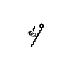 CCCCCCCCCCCCCc1ccccc1.CCCCn1cnnc1S